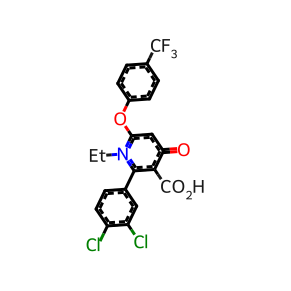 CCn1c(Oc2ccc(C(F)(F)F)cc2)cc(=O)c(C(=O)O)c1-c1ccc(Cl)c(Cl)c1